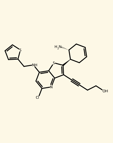 N[C@@H]1CC=CC[C@H]1c1sc2c(NCc3cccs3)cc(Cl)nc2c1C#CCCO